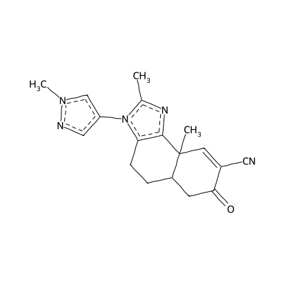 Cc1nc2c(n1-c1cnn(C)c1)CCC1CC(=O)C(C#N)=CC21C